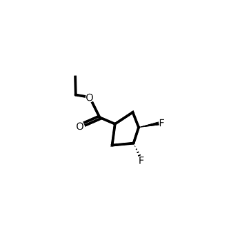 CCOC(=O)C1C[C@@H](F)[C@H](F)C1